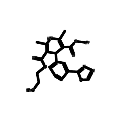 COCCOC(=O)C1=C(C)NC(C)=C(C(=O)OC(C)C)C1c1cccc(-c2nnco2)c1